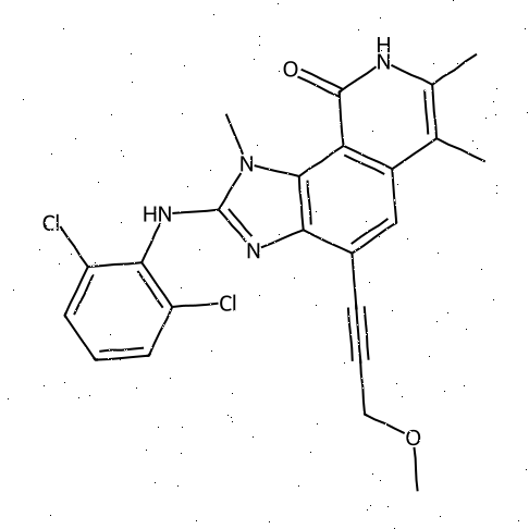 COCC#Cc1cc2c(C)c(C)[nH]c(=O)c2c2c1nc(Nc1c(Cl)cccc1Cl)n2C